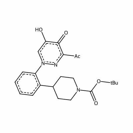 CC(=O)c1nn(-c2ccccc2C2CCN(C(=O)OC(C)(C)C)CC2)cc(O)c1=O